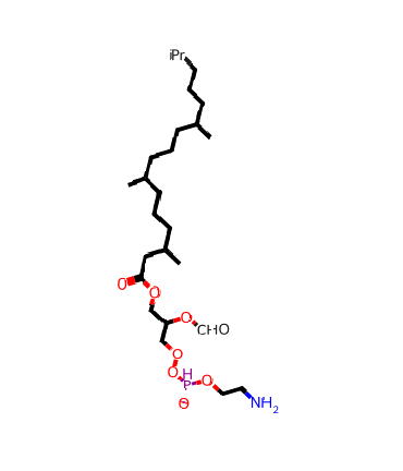 CC(C)CCCC(C)CCCC(C)CCCC(C)CC(=O)OCC(COO[PH](=O)OCCN)OC=O